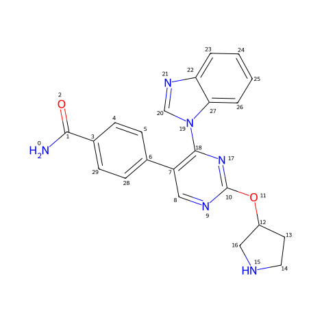 NC(=O)c1ccc(-c2cnc(OC3CCNC3)nc2-n2cnc3ccccc32)cc1